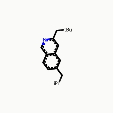 CC(C)Cc1ccc2cnc(CC(C)(C)C)cc2c1